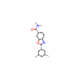 Cc1cc(C)cc(-c2nc3ccc(C(=O)N(C)C)cc3o2)c1